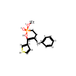 CCOP1(=O)CCC([Se]c2ccccc2)=C(c2ccsc2)O1